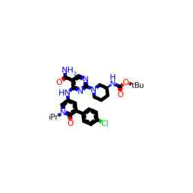 CC(C)n1cc(Nc2nc(N3CCC[C@H](NC(=O)OC(C)(C)C)C3)ncc2C(N)=O)cc(-c2ccc(Cl)cc2)c1=O